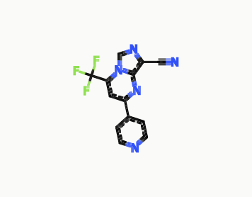 N#Cc1ncn2c(C(F)(F)F)cc(-c3ccncc3)nc12